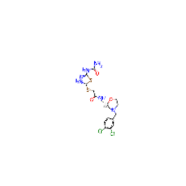 NC(=O)NC1=NNC(SCC(=O)NC[C@H]2CN(Cc3ccc(Cl)c(Cl)c3)CCO2)S1